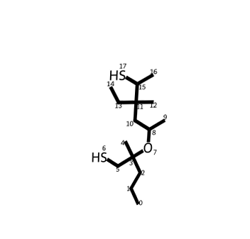 CCCC(C)(CS)OC(C)CC(C)(CC)C(C)S